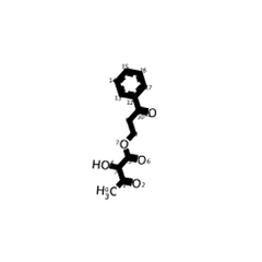 CC(=O)C(O)C(=O)OCCC(=O)c1ccccc1